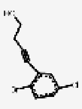 OCCC#Cc1cc(Cl)ccc1Br